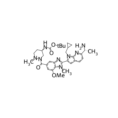 COc1cc(C(=O)N2C[C@H](NC(=O)OC(C)(C)C)CCN2C)cc2nc(-c3cc4ccc([C@@H](C)N)nc4n3CC3CC3)n(C)c12